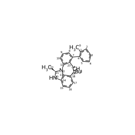 Cc1ccccc1-c1cccc(N2c3c(cccc3C(C)(C)C)N[C@H]2C)c1C